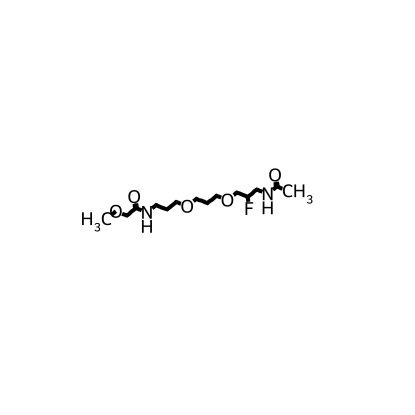 COCC(=O)NCCCOCCCOCC(F)CNC(C)=O